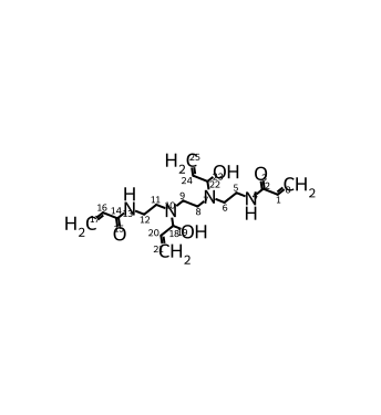 C=CC(=O)NCCN(CCN(CCNC(=O)C=C)C(O)C=C)C(O)C=C